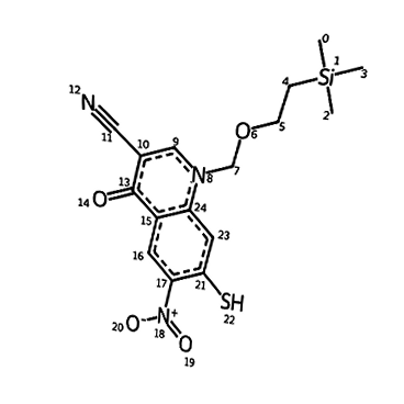 C[Si](C)(C)CCOCn1cc(C#N)c(=O)c2cc([N+](=O)[O-])c(S)cc21